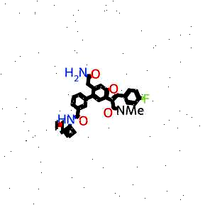 CNC(=O)c1c(-c2ccc(F)cc2)oc2cc(CC(N)=O)c(-c3cccc(C(=O)NC45CC([C@@H]4C)[C@@H]5C)c3)cc12